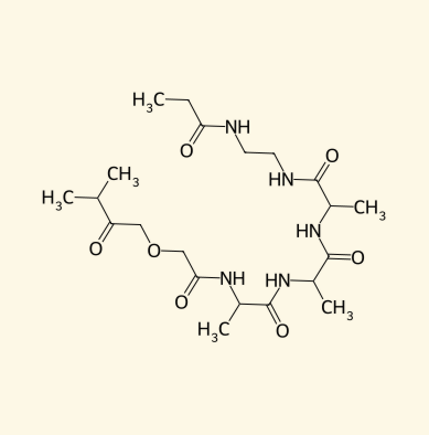 CCC(=O)NCCNC(=O)C(C)NC(=O)C(C)NC(=O)C(C)NC(=O)COCC(=O)C(C)C